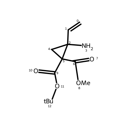 C=CC1(N)CC1(C(=O)OC)C(=O)OC(C)(C)C